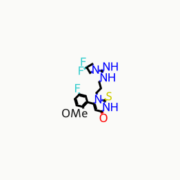 COc1ccc(F)cc1-c1cc(=O)[nH]c(=S)n1CCCNC(=N)N1CC(F)(F)C1